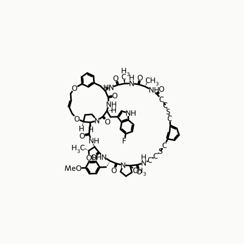 COc1ccc(C[C@@H]2NC(=O)[C@H]([C@@H](C)O)NC(=O)[C@@H]3[C@@H]4CCN3C(=O)[C@H](Cc3c[nH]c5ccc(F)cc35)NC(=O)[C@H](Cc3cccc(c3)OC/C=C/CO4)NC(=O)[C@@H](C)NC(=O)[C@H](C)NC(=O)CCSCc3cccc(c3)CSCCNC(=O)[C@]3(C)CCCN3C2=O)cc1